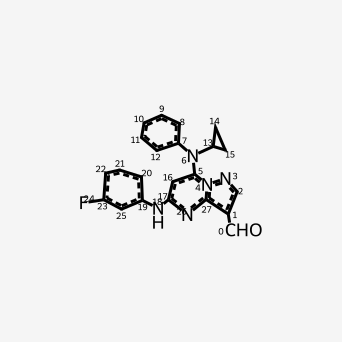 O=Cc1cnn2c(N(c3ccccc3)C3CC3)cc(Nc3cccc(F)c3)nc12